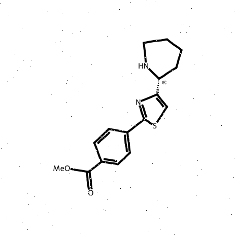 COC(=O)c1ccc(-c2nc([C@H]3CCCCN3)cs2)cc1